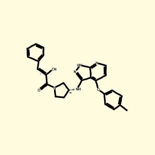 Cc1ccc(Oc2ccnc3[nH]nc(N[C@@H]4CCN(C(=O)/C(C#N)=C/c5ccccc5)C4)c23)cc1